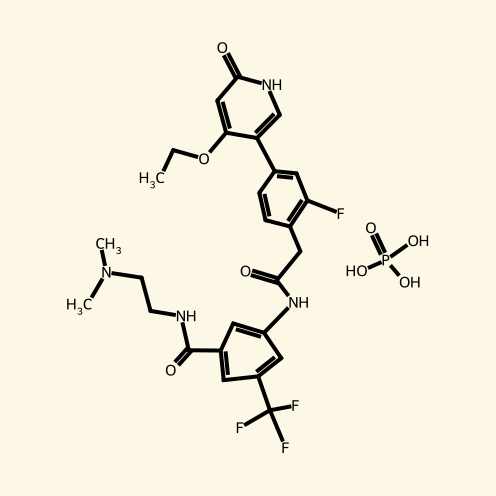 CCOc1cc(=O)[nH]cc1-c1ccc(CC(=O)Nc2cc(C(=O)NCCN(C)C)cc(C(F)(F)F)c2)c(F)c1.O=P(O)(O)O